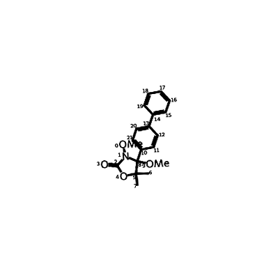 CON1C(=O)OC(C)(C)C1(OC)c1ccc(-c2ccccc2)cc1